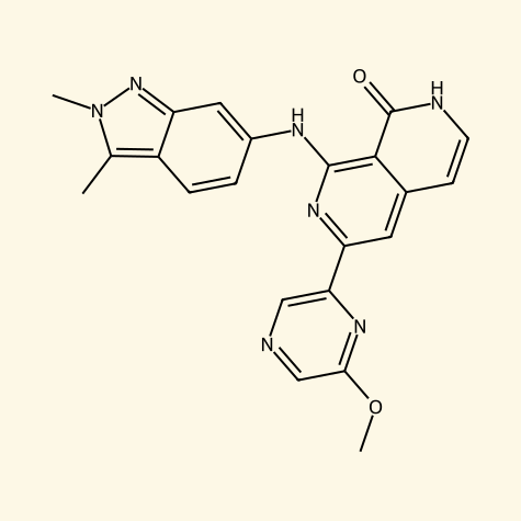 COc1cncc(-c2cc3cc[nH]c(=O)c3c(Nc3ccc4c(C)n(C)nc4c3)n2)n1